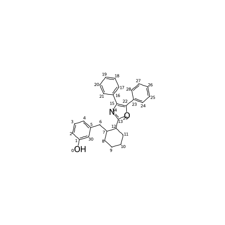 Oc1cccc(CC2CCCCC2c2nc(-c3ccccc3)c(-c3ccccc3)o2)c1